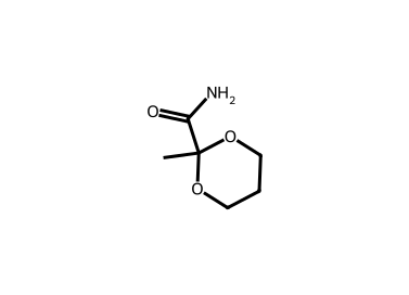 CC1(C(N)=O)OCCCO1